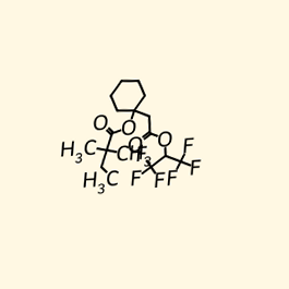 CCC(C)(C)C(=O)OC1(CC(=O)OC(C(F)(F)F)C(F)(F)F)CCCCC1